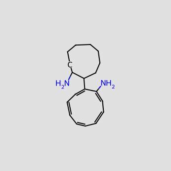 Nc1ccccccccc1C1CCCCCCCC1N